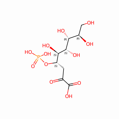 O=C(O)C(=O)C[C@H](OP(=O)(O)O)[C@@H](O)[C@@H](O)[C@H](O)[C@H](O)CO